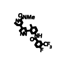 CNC(=O)c1cc(-c2cnnc(-c3cc(NC(=O)c4ccc(F)c(C(F)(F)F)c4)ccc3C)c2)ccn1